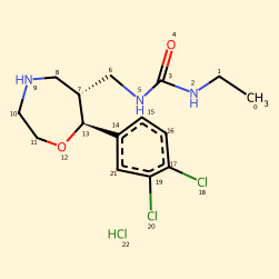 CCNC(=O)NC[C@H]1CNCCO[C@@H]1c1ccc(Cl)c(Cl)c1.Cl